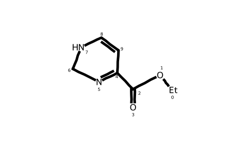 CCOC(=O)C1=NCNC=C1